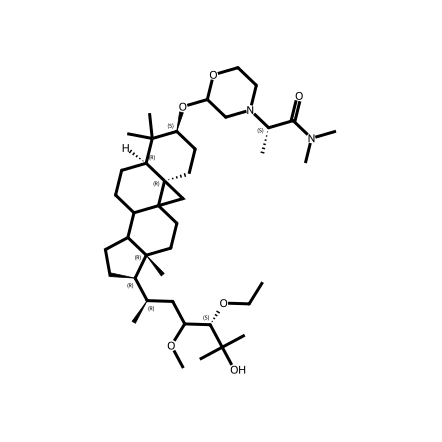 CCO[C@@H](C(C[C@@H](C)[C@H]1CCC2C3CC[C@H]4C(C)(C)[C@@H](OC5CN([C@@H](C)C(=O)N(C)C)CCO5)CC[C@@]45CC35CC[C@@]21C)OC)C(C)(C)O